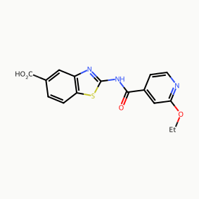 CCOc1cc(C(=O)Nc2nc3cc(C(=O)O)ccc3s2)ccn1